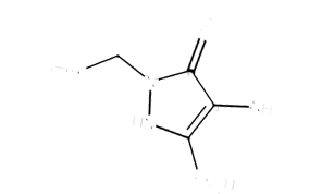 CCCCCCCn1[nH]c(C(=O)O)c(N)c1=O